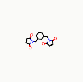 O=C1C=CC(=O)N1CC1CCCC(CN2C(=O)C=CC2=O)C1